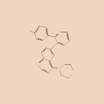 Cc1ccc(-c2ncccc2-c2ccc3nccc(N4CCOCC4)c3c2)cc1